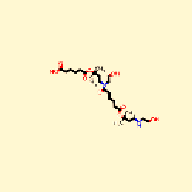 CC(C)(CCNCCO)OC(=O)CCCCC(=O)N(CCO)CCC(C)(C)OC(=O)CCCCC(=O)O